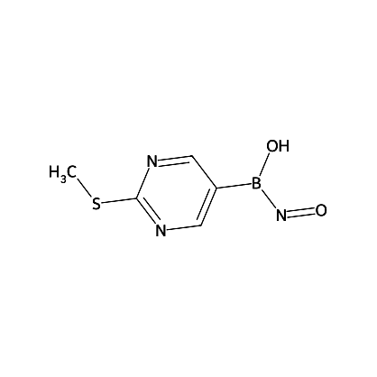 CSc1ncc(B(O)N=O)cn1